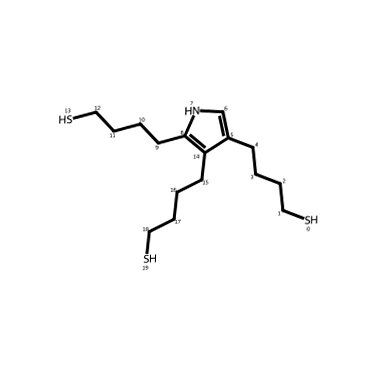 SCCCCc1c[nH]c(CCCCS)c1CCCCS